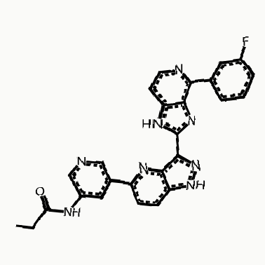 CCC(=O)Nc1cncc(-c2ccc3[nH]nc(-c4nc5c(-c6cccc(F)c6)nccc5[nH]4)c3n2)c1